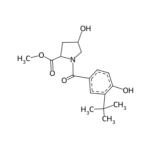 COC(=O)C1CC(O)CN1C(=O)c1ccc(O)c(C(C)(C)C)c1